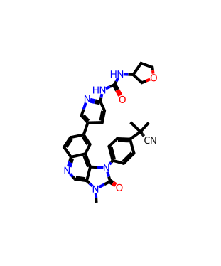 Cn1c(=O)n(-c2ccc(C(C)(C)C#N)cc2)c2c3cc(-c4ccc(NC(=O)NC5CCOC5)nc4)ccc3ncc21